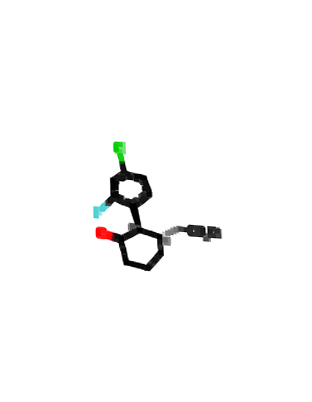 CCOC(=O)C[C@@H]1CCCC(=O)[C@H]1c1ccc(Cl)cc1F